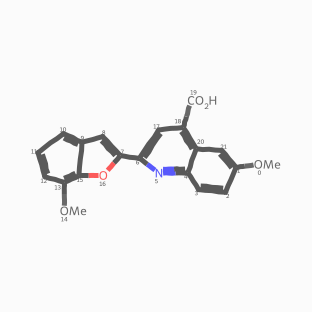 COc1ccc2nc(-c3cc4cccc(OC)c4o3)cc(C(=O)O)c2c1